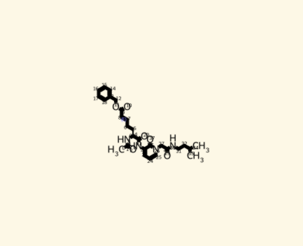 CC(=O)N[C@@H](CC/C=C/C(=O)OCc1ccccc1)C(=O)Nc1cccn(CC(=O)NCCC(C)C)c1=O